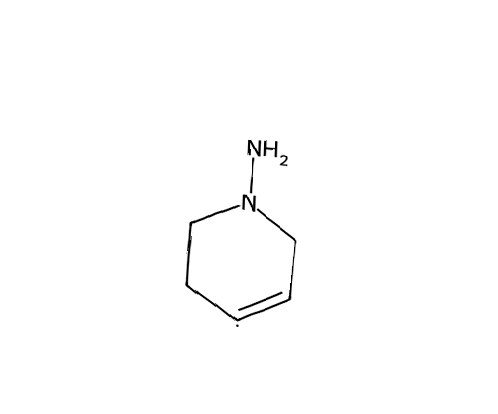 NN1CC=[C]CC1